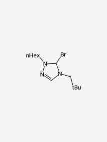 CCCCCCN1N=CN(CC(C)(C)C)C1Br